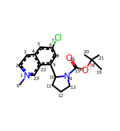 C[n+]1ccc2cc(Cl)cc(C3CCCN3C(=O)OC(C)(C)C)c2c1